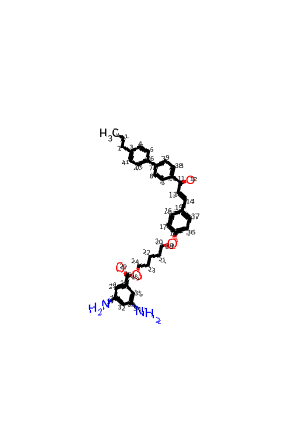 CCCc1ccc(-c2ccc(C(=O)C=Cc3ccc(OCCCCCOC(=O)c4cc(N)cc(N)c4)cc3)cc2)cc1